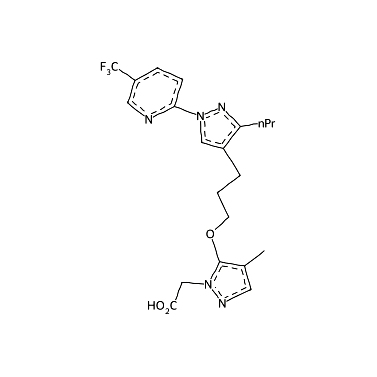 CCCc1nn(-c2ccc(C(F)(F)F)cn2)cc1CCCOc1c(C)cnn1CC(=O)O